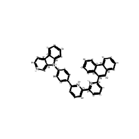 c1cc(-c2ccc(-n3c4ccccc4c4ccncc43)cc2)nc(-c2cccc(-c3cc4ccccc4c4ccccc34)n2)c1